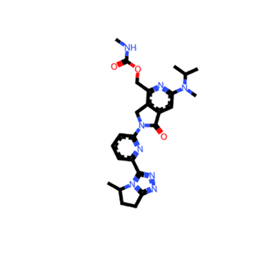 CNC(=O)OCc1nc(N(C)C(C)C)cc2c1CN(c1cccc(-c3nnc4n3C(C)CC4)n1)C2=O